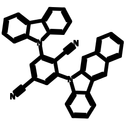 N#Cc1cc(-n2c3ccccc3c3ccccc32)c(C#N)c(-n2c3ccccc3c3cc4ccccc4cc32)c1